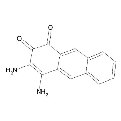 NC1=C(N)c2cc3ccccc3cc2C(=O)C1=O